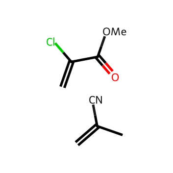 C=C(C)C#N.C=C(Cl)C(=O)OC